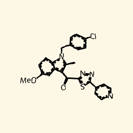 COc1ccc2c(c1)c(C(=O)c1nnc(-c3ccncc3)s1)c(C)n2Cc1ccc(Cl)cc1